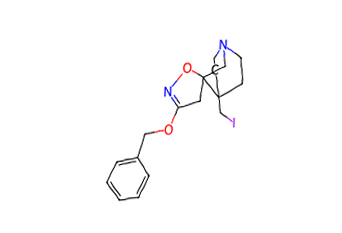 ICC12CCN(CC1)CC21CC(OCc2ccccc2)=NO1